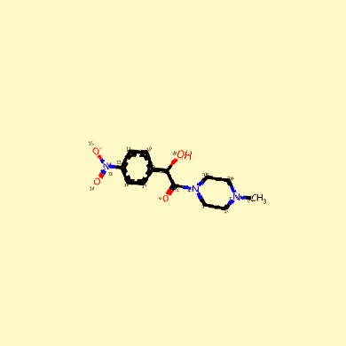 CN1CCN(C(=O)C(O)c2ccc([N+](=O)[O-])cc2)CC1